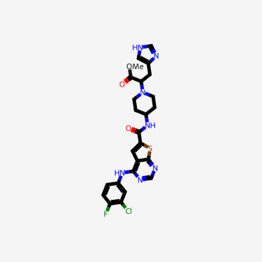 COC(=O)C(Cc1c[nH]cn1)N1CCC(NC(=O)c2cc3c(Nc4ccc(F)c(Cl)c4)ncnc3s2)CC1